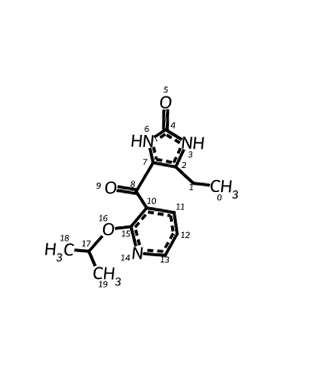 CCc1[nH]c(=O)[nH]c1C(=O)c1cccnc1OC(C)C